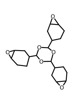 C1CC2OC2CC1C1OC(C2CCC3OC3C2)OC(C2CCC3OC3C2)O1